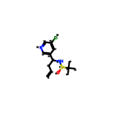 C=CCC(N[S@+]([O-])C(C)(C)C)c1cncc(Cl)c1